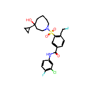 O=C(Nc1ccc(F)c(Cl)c1)c1ccc(CF)c(S(=O)(=O)N2CCCCC(O)(C3CC3)CC2)c1